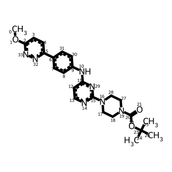 COc1ccc(-c2ccc(Nc3ccnc(N4CCN(C(=O)OC(C)(C)C)CC4)n3)cc2)nn1